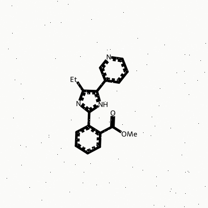 CCc1nc(-c2ccccc2C(=O)OC)[nH]c1-c1cccnc1